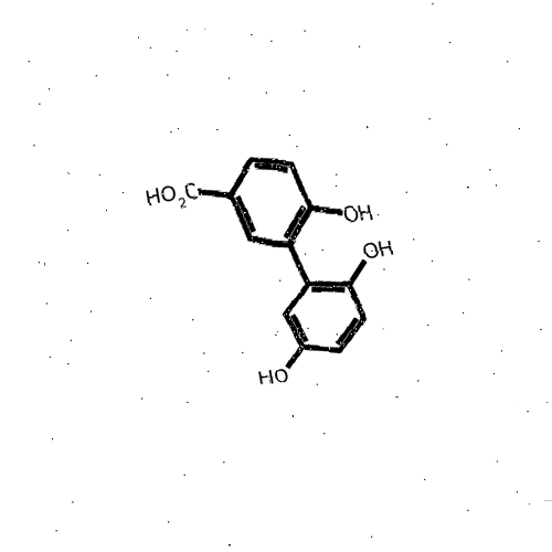 O=C(O)c1ccc(O)c(-c2cc(O)ccc2O)c1